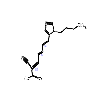 CCCCn1cccc1/C=C/C=C/C=C(\C#N)C(=O)O